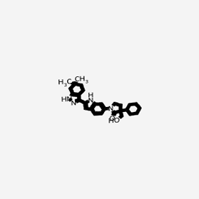 CC1(C)CCc2c(-c3cc4ccc(N5CCC(CO)(C6CCCCC6)C5=O)cc4[nH]3)n[nH]c2C1